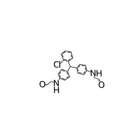 O=CCNc1ccc(C(c2ccc(NCC=O)cc2)c2ccccc2Cl)cc1